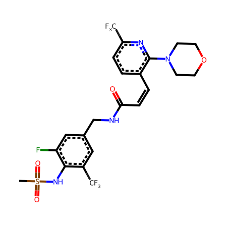 CS(=O)(=O)Nc1c(F)cc(CNC(=O)/C=C\c2ccc(C(F)(F)F)nc2N2CCOCC2)cc1C(F)(F)F